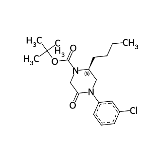 CCCC[C@H]1CN(c2cccc(Cl)c2)C(=O)CN1C(=O)OC(C)(C)C